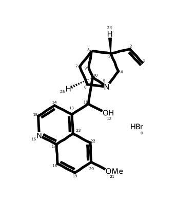 Br.C=C[C@@H]1CN2CCC1C[C@@H]2C(O)c1ccnc2ccc(OC)cc12